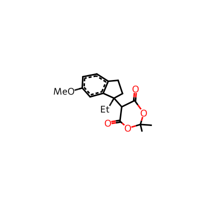 CCC1(C2C(=O)OC(C)(C)OC2=O)CCc2ccc(OC)cc21